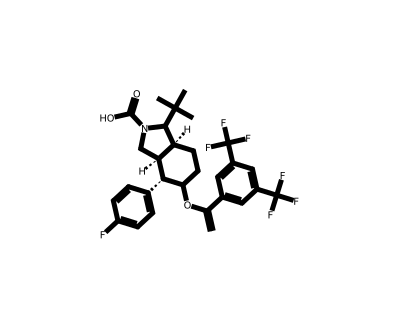 C=C(OC1CC[C@@H]2C(C(C)(C)C)N(C(=O)O)C[C@@H]2[C@H]1c1ccc(F)cc1)c1cc(C(F)(F)F)cc(C(F)(F)F)c1